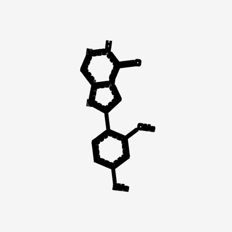 COc1cc(SC)ccc1-c1cn2c(=O)[nH]ncc2n1